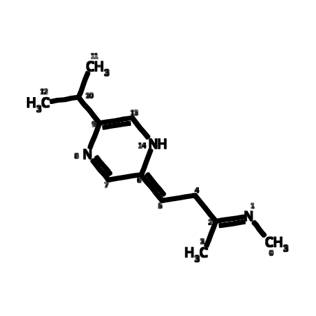 C/N=C(\C)C/C=C1/C=NC(C(C)C)=CN1